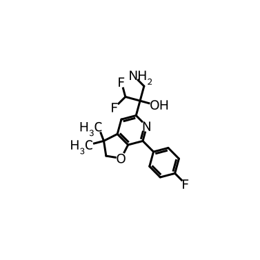 CC1(C)COc2c1cc(C(O)(CN)C(F)F)nc2-c1ccc(F)cc1